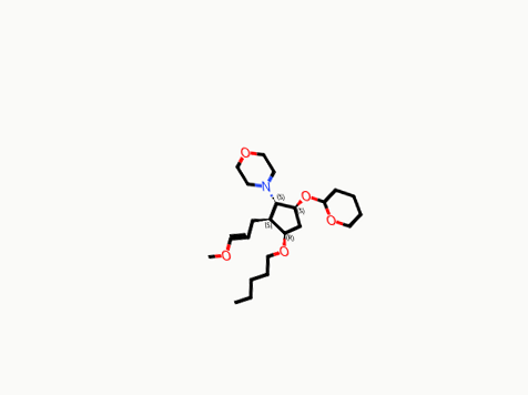 CCCCCO[C@@H]1C[C@H](OC2CCCCO2)[C@@H](N2CCOCC2)[C@@H]1CC=COC